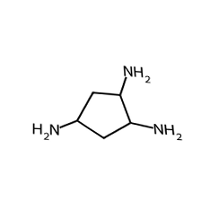 NC1CC(N)C(N)C1